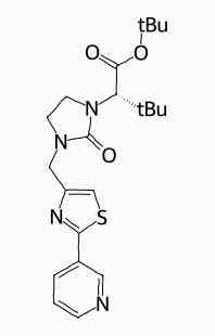 CC(C)(C)OC(=O)[C@@H](N1CCN(Cc2csc(-c3cccnc3)n2)C1=O)C(C)(C)C